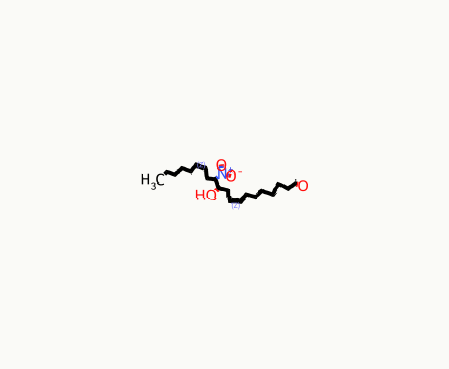 CCCCC/C=C\CC(C(O)C/C=C\CCCCCC[C]=O)[N+](=O)[O-]